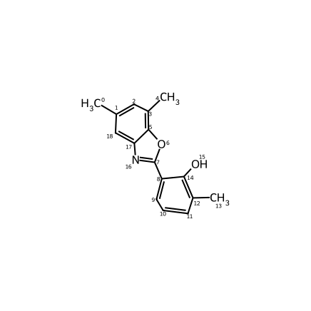 Cc1cc(C)c2oc(-c3cccc(C)c3O)nc2c1